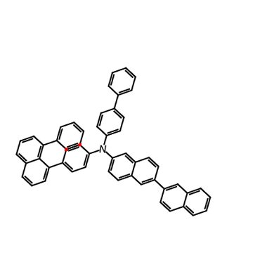 c1ccc(-c2ccc(N(c3ccc(-c4cccc5cccc(-c6ccccc6)c45)cc3)c3ccc4cc(-c5ccc6ccccc6c5)ccc4c3)cc2)cc1